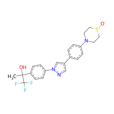 CC(O)(c1ccc(-n2cc(-c3ccc(N4CC[S+]([O-])CC4)cc3)cn2)cc1)C(F)(F)F